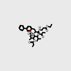 CCOC(=O)CCNC(=O)C(Cc1ccc(-c2ccccc2)cc1)N(C(C(OC(=O)CC)C(C)C)C(OC(=O)CC)C(C)C)P(=O)(O)O